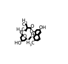 CCC(CC)C(=O)O[C@H]1C[C@H](O)C=C2C=C[C@@H](C)[C@H](CC[C@@H]3C[C@@H](O)CC(=O)O3)[C@H]21